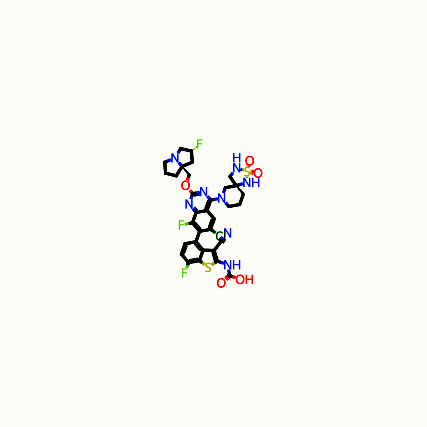 N#Cc1c(NC(=O)O)sc2c(F)ccc(-c3c(Cl)cc4c(N5CCC[C@]6(CNS(=O)(=O)N6)C5)nc(OC[C@@]56CCCN5C[C@H](F)C6)nc4c3F)c12